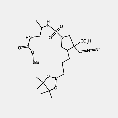 CC(CNC(=O)OC(C)(C)C)NS(=O)(=O)N1CC(CCCB2OC(C)(C)C(C)(C)O2)C(N=[N+]=[N-])(C(=O)O)C1